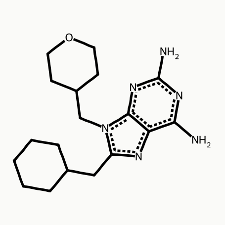 Nc1nc(N)c2nc(CC3CCCCC3)n(CC3CCOCC3)c2n1